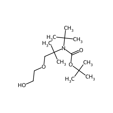 CC(C)(C)OC(=O)N(C(C)(C)C)C(C)(C)COCCO